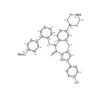 C=C1c2oc(-c3ccc(Cl)cc3)cc2Cc2cc(N3CCNCC3)ccc2N1Cc1ccccc1-c1ccc(OC)nc1